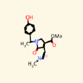 C=N/C=C\C1=C(C(=O)OC)CN(C(C)c2ccc(O)cc2)C1=O